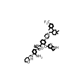 Cc1cc(C(F)(F)F)ccc1C1=C(CN2CCN(c3ccc(C(=O)NS(=O)(=O)c4ccc(NC[C@@H]5CCCOC5)c(N)c4)c(Oc4cnc5[nH]ccc5c4)c3)CC2)CCC(C)(C)C1